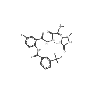 CNC(=O)C(=O)[C@H](C[C@@H]1C[C@@H](C)NC1=O)NC(=O)c1cc(Cl)ccc1NC(=O)c1cccc(C(F)(F)F)c1